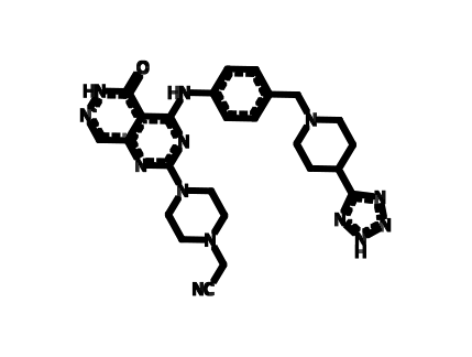 N#CCN1CCN(c2nc(Nc3ccc(CN4CCC(c5nn[nH]n5)CC4)cc3)c3c(=O)[nH]ncc3n2)CC1